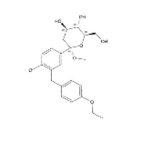 CCOc1ccc(Cc2cc([C@@]3(OC)C[C@@H](O)[C@H](O)[C@@H](CO)O3)ccc2Cl)cc1